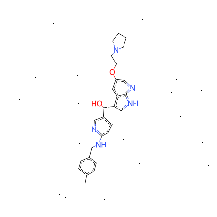 Cc1ccc(CNc2ccc(C(O)c3c[nH]c4ncc(OCCN5CCCC5)cc34)cn2)cc1